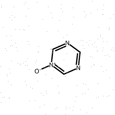 [O-][n+]1[c]ncnc1